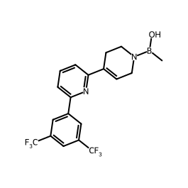 CB(O)N1CC=C(c2cccc(-c3cc(C(F)(F)F)cc(C(F)(F)F)c3)n2)CC1